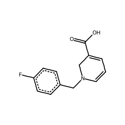 O=C(O)C1=CC=CN(Cc2ccc(F)cc2)C1